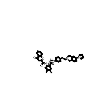 Cc1cc(NC(=O)c2cc(=O)c3ccccc3o2)c(-c2nnn(-c3ccc(CCN4CCc5cc(-n6cccc6)ccc5C4)cc3)n2)cc1C